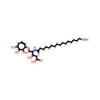 CCCCCCCCCCCCCCCCCCCCCCCCCC(=S)NC(COC1C=CCC(O)C(O)C1O)C(O)CC(O)CC